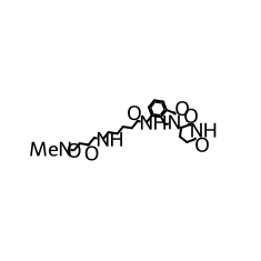 CNOCC(=O)CNCCCCC(=O)Nc1cccc2c1CN(C1CCC(=O)NC1=O)C2=O